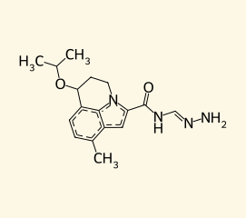 Cc1ccc2c3c1cc(C(=O)NC=NN)n3CCC2OC(C)C